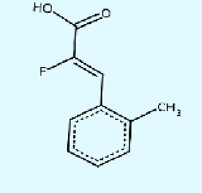 Cc1ccccc1/C=C(\F)C(=O)O